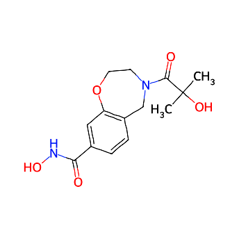 CC(C)(O)C(=O)N1CCOc2cc(C(=O)NO)ccc2C1